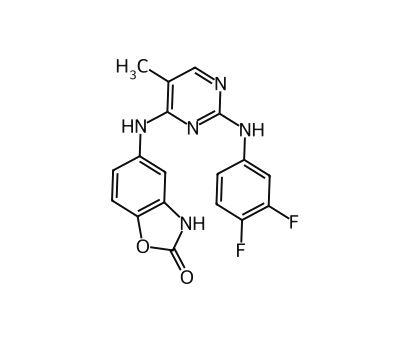 Cc1cnc(Nc2ccc(F)c(F)c2)nc1Nc1ccc2oc(=O)[nH]c2c1